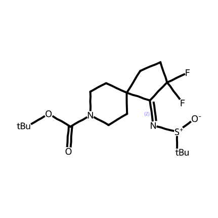 CC(C)(C)OC(=O)N1CCC2(CC1)CCC(F)(F)/C2=N\[S+]([O-])C(C)(C)C